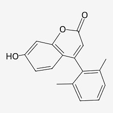 Cc1cccc(C)c1-c1cc(=O)oc2cc(O)ccc12